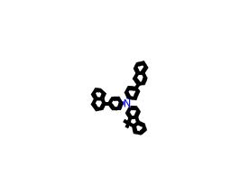 CC1(C)c2ccccc2-c2ccc(N(c3ccc(-c4ccc5ccccc5c4)cc3)c3ccc(-c4cccc5ccccc45)cc3)cc21